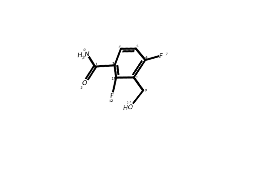 NC(=O)c1ccc(F)c(CO)c1F